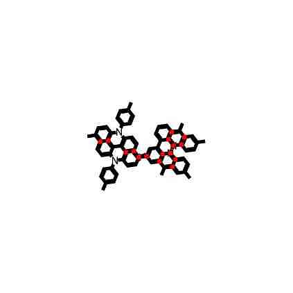 Cc1ccc(N(c2ccc(C)cc2)c2ccccc2-c2cc(Sc3ccc(N(c4ccc(C)cc4)c4ccc(C)cc4)c(-c4ccccc4N(c4ccc(C)cc4)c4ccc(C)cc4)c3)ccc2N(c2ccc(C)cc2)c2ccc(C)cc2)cc1